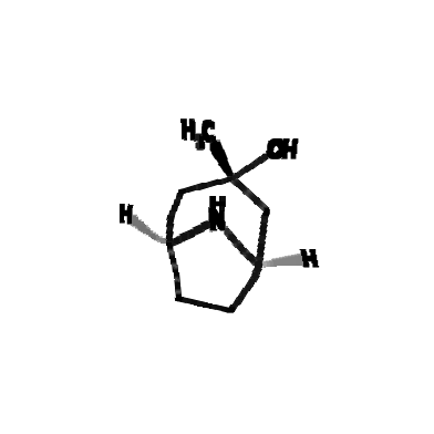 C[C@@]1(O)C[C@H]2CC[C@@H](C1)N2